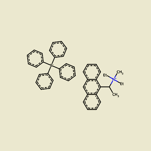 CC[N+](C)(CC)C(C)c1c2ccccc2cc2ccccc12.c1ccc([B-](c2ccccc2)(c2ccccc2)c2ccccc2)cc1